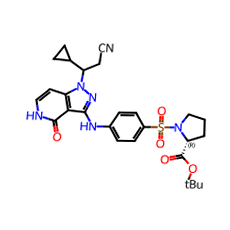 CC(C)(C)OC(=O)[C@H]1CCCN1S(=O)(=O)c1ccc(Nc2nn(C(CC#N)C3CC3)c3cc[nH]c(=O)c23)cc1